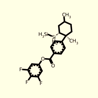 CC1CC[C@@](C)(c2ccc(C(=O)Oc3cc(F)c(F)c(F)c3)cc2)[C@H]([SiH2][SiH3])C1